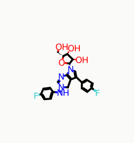 OC[C@H]1O[C@@H](n2cc(-c3ccc(F)cc3)c3c2N=CN(Nc2ccc(F)cc2)C3)[C@H](O)[C@@H]1O